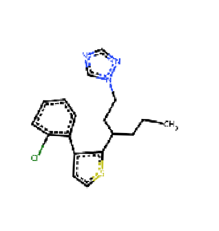 CCCC(CCn1cncn1)c1sccc1-c1ccccc1Cl